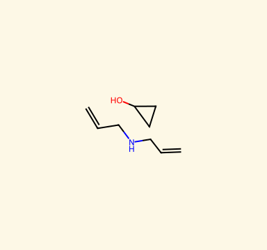 C=CCNCC=C.OC1CC1